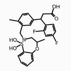 Cc1ccc(C(CC(=O)O)c2ccc(F)cc2F)cc1CN1CC(C)Oc2ccccc2S1(O)O